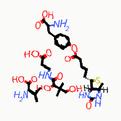 CC(C)(CO)C(O)C(=O)NCCC(=O)O.CC(C)[C@H](N)C(=O)O.N[C@@H](Cc1ccc(OC(=O)CCCC[C@@H]2SC[C@@H]3NC(=O)N[C@@H]32)cc1)C(=O)O